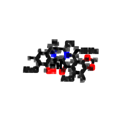 COc1c(C)cc2c(c1O)[C@H]1[C@H]3C(=O)c4c(OC(C)=O)c(C)c5c(c4[C@H](CNC(C)=O)N3[C@@H](C#N)[C@H](C2)N1C)OCO5